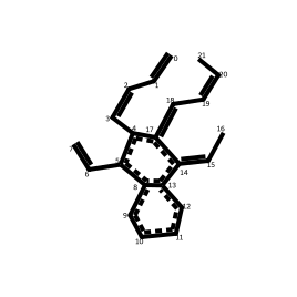 C=C/C=C\c1c(C=C)c2ccccc2c(=C/C)/c1=C\C=C/C